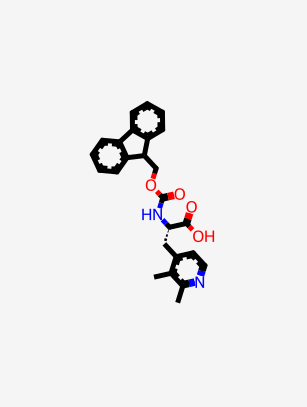 Cc1nccc(C[C@H](NC(=O)OCC2c3ccccc3-c3ccccc32)C(=O)O)c1C